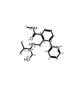 CNC(=O)c1cccc(-c2ccccn2)c1CN[C@@H](CO)C(C)C